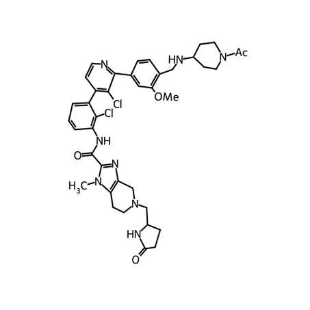 COc1cc(-c2nccc(-c3cccc(NC(=O)c4nc5c(n4C)CCN(CC4CCC(=O)N4)C5)c3Cl)c2Cl)ccc1CNC1CCN(C(C)=O)CC1